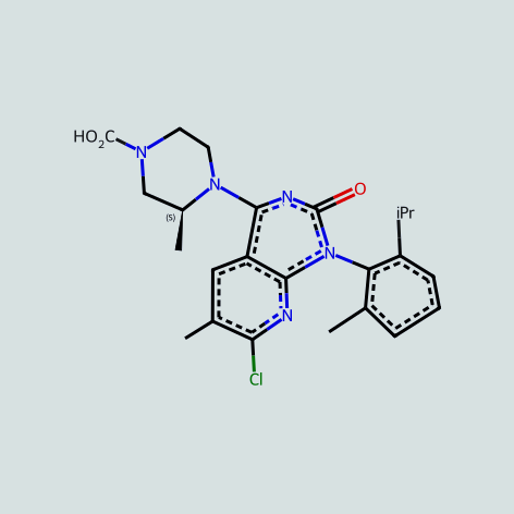 Cc1cc2c(N3CCN(C(=O)O)C[C@@H]3C)nc(=O)n(-c3c(C)cccc3C(C)C)c2nc1Cl